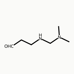 CN(C)CNCCC=O